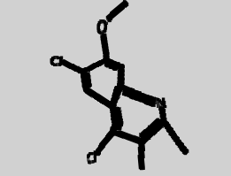 COc1cc2nc(C)c(C)c(Cl)c2cc1Cl